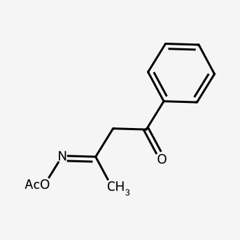 CC(=O)O/N=C(\C)CC(=O)c1ccccc1